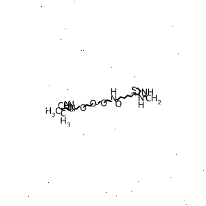 C=C1NC2CS[C@H](CCCCC(=O)NCCOCCOCCOCCn3cc(C(C)(C)C)nn3)C2N1